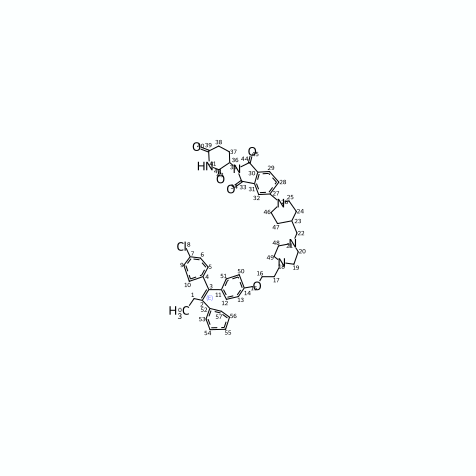 CC/C(=C(\c1ccc(Cl)cc1)c1ccc(OCCN2CCN(CC3CCN(c4ccc5c(c4)C(=O)N(C4CCC(=O)NC4=O)C5=O)CC3)CC2)cc1)c1ccccc1